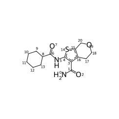 NC(=O)c1c(NC(=O)C2CCCCC2)sc2c1CCOC2